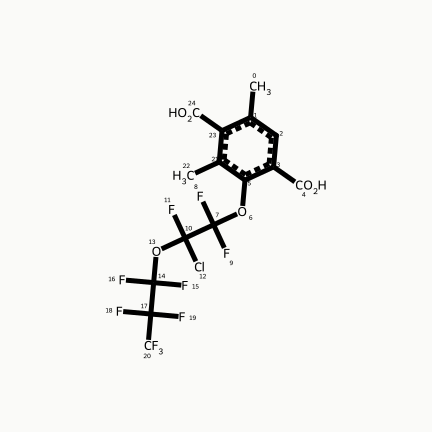 Cc1cc(C(=O)O)c(OC(F)(F)C(F)(Cl)OC(F)(F)C(F)(F)C(F)(F)F)c(C)c1C(=O)O